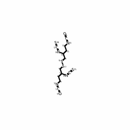 O=C=NCCC(CSSCC(CCN=C=O)N=C=S)N=C=S